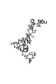 CCCC(NC(=O)Cc1cc(F)cc(F)c1)C(=O)Nc1cn(C2CCN(C(=O)CC(C)(C)C)CC2)cn1